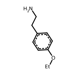 [CH2]COc1ccc(CCN)cc1